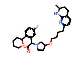 CC1CCc2ccc(CCCCOC3CCN(C(C(=O)O)c4cc(F)ccc4C4CCCCO4)C3)nc2N1